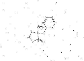 O=C(O)C1(Cc2ccccc2)CCCC1=O